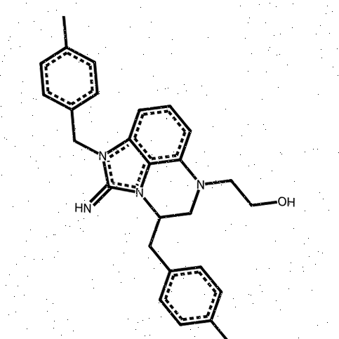 Cc1ccc(CC2CN(CCO)c3cccc4c3n2c(=N)n4Cc2ccc(C)cc2)cc1